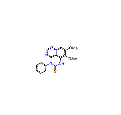 COc1cc2ncnc3c2c(c1OC)NC(=S)N3c1ccccc1